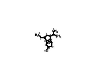 CCC1CC(C(C)C)C2C3CC(Cl)C(C3)C12